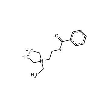 CC[N+](CC)(CC)CCSC(=O)c1ccccc1